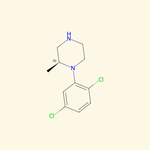 C[C@H]1CNCCN1c1cc(Cl)ccc1Cl